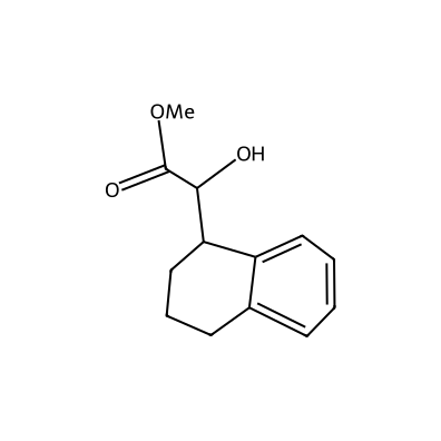 COC(=O)C(O)C1CCCc2ccccc21